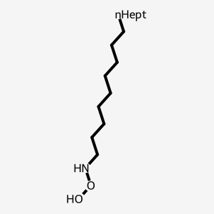 CCCCCCCCCCCCCCCCNOO